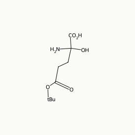 CC(C)(C)OC(=O)CCC(N)(O)C(=O)O